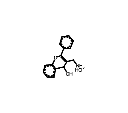 Cl.NCC1=C(c2ccccc2)Oc2ccccc2C1O